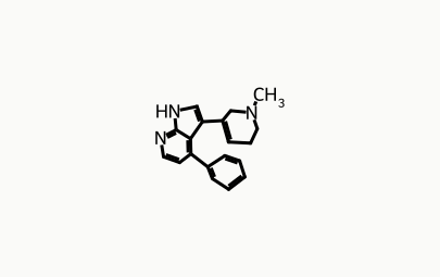 CN1CCC=C(c2c[nH]c3nccc(-c4ccccc4)c23)C1